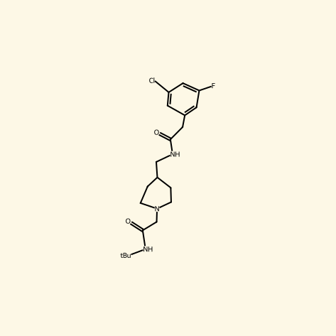 CC(C)(C)NC(=O)CN1CCC(CNC(=O)Cc2cc(F)cc(Cl)c2)CC1